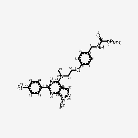 CCCCCC(=O)NCc1ccc(OCCN(C)c2nc(-c3ccc(CC)cc3)nc3c2cnn3CC)cc1